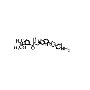 Cc1ccc(C(=O)NCc2cc3nc(N4CCN(c5ccc(N)nc5)CC4)ccc3cn2)cc1S(C)(=O)=O